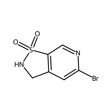 O=S1(=O)NCc2cc(Br)ncc21